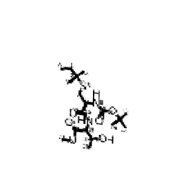 CCC(C)(C)SCC(NC(=O)OC(C)(C)C)C(=O)NC(C(=O)OC)C(C)O